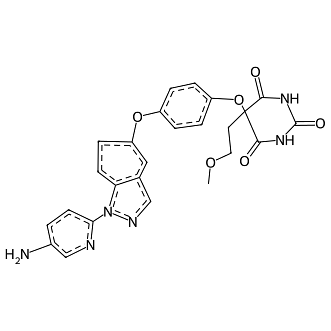 COCCC1(Oc2ccc(Oc3ccc4c(cnn4-c4ccc(N)cn4)c3)cc2)C(=O)NC(=O)NC1=O